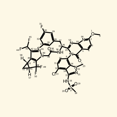 COc1ccc2c(=O)n(-c3ccc(Cl)c4c(NS(C)(=O)=O)nn(C)c34)c([C@H](Cc3cc(F)cc(F)c3)NC(=O)Cn3nc(C(F)F)c4c3C(F)(F)[C@@H]3C[C@H]43)nc2n1